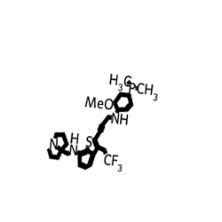 COC1CC(P(C)C)C=CC1NCC#Cc1sc2c(NCC34CCCN3CCC4)cccc2c1CC(F)(F)F